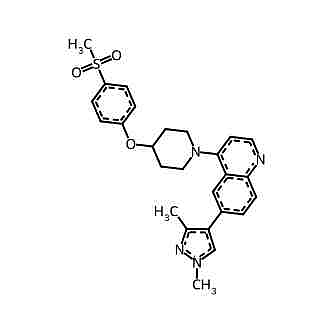 Cc1nn(C)cc1-c1ccc2nccc(N3CCC(Oc4ccc(S(C)(=O)=O)cc4)CC3)c2c1